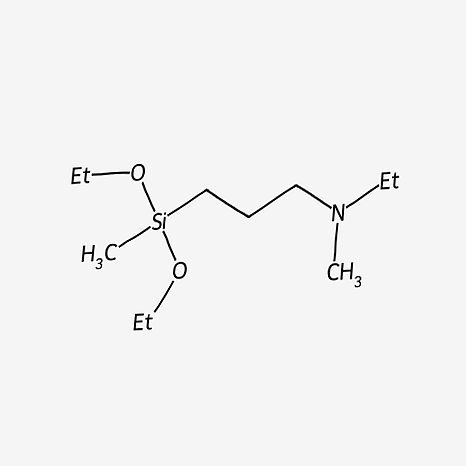 CCO[Si](C)(CCCN(C)CC)OCC